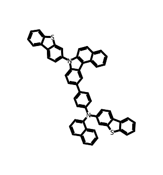 c1ccc2c(N(c3ccc(-c4ccc5c(c4)c4c6ccccc6ccc4n5-c4ccc5c(c4)sc4ccccc45)cc3)c3ccc4c(c3)sc3ccccc34)cccc2c1